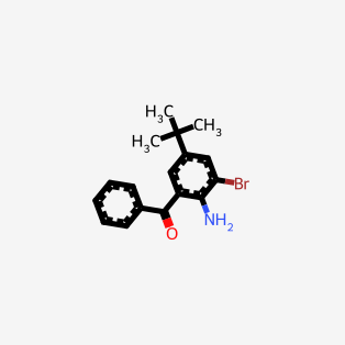 CC(C)(C)c1cc(Br)c(N)c(C(=O)c2ccccc2)c1